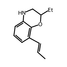 C/C=C/c1cccc2c1OC(CC)CN2